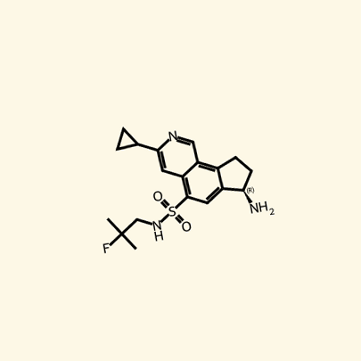 CC(C)(F)CNS(=O)(=O)c1cc2c(c3cnc(C4CC4)cc13)CC[C@H]2N